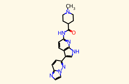 CN1CCC(C(=O)Nc2ccc3c(-c4ccc5nccn5n4)c[nH]c3n2)CC1